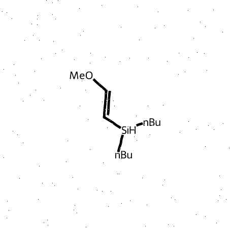 CCCC[SiH](C=COC)CCCC